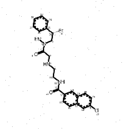 CC[C@H](CN(CC)C(=O)CNCCNC(=O)c1ccc2cc(Cl)ccc2c1)c1ccccc1